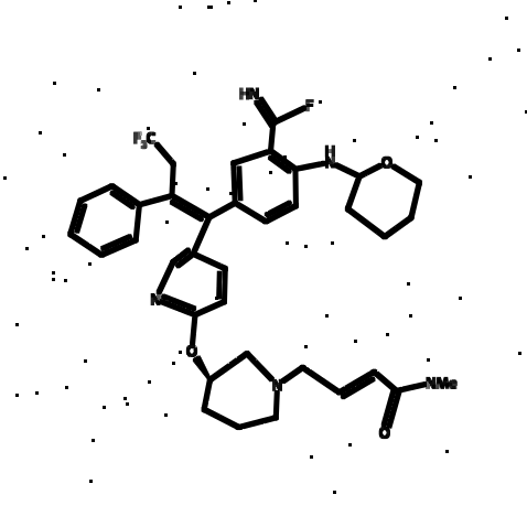 CNC(=O)/C=C/CN1CCC[C@@H](Oc2ccc(/C(=C(/CC(F)(F)F)c3ccccc3)c3ccc(NC4CCCCO4)c(C(=N)F)c3)cn2)C1